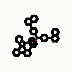 c1ccc(-c2c3c4c(-c5ccc(N(c6ccc(-c7cccc8ccccc78)cc6)c6ccc(-c7cccc8ccccc78)cc6)cc5)cccc4c4ccccc4c3n3ccccc23)cc1